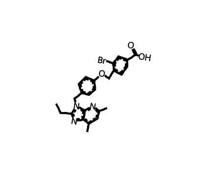 CCc1nc2c(C)cc(C)nc2n1Cc1ccc(OCc2ccc(C(=O)O)cc2Br)cc1